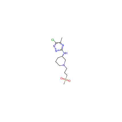 Cc1nc(N[C@@H]2CCCN(CCCS(C)(=O)=O)C2)nnc1Cl